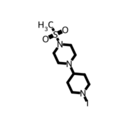 CS(=O)(=O)N1CCN(C2CCN(I)CC2)CC1